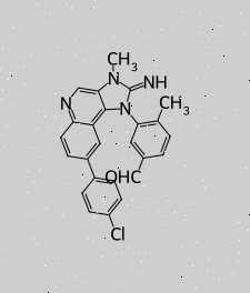 Cc1ccc(C=O)cc1-n1c(=N)n(C)c2cnc3ccc(-c4ccc(Cl)cc4)cc3c21